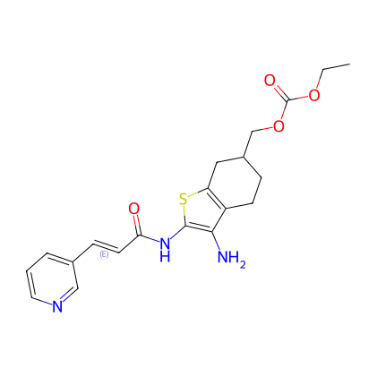 CCOC(=O)OCC1CCc2c(sc(NC(=O)/C=C/c3cccnc3)c2N)C1